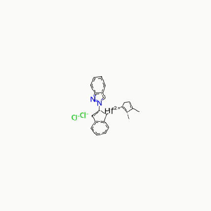 CC1=CC[C]([Hf+2][CH]2C(n3cc4ccccc4n3)=Cc3ccccc32)=C1C.[Cl-].[Cl-]